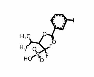 CC(C)C(OC(=O)c1cccc(I)c1)C(F)(F)S(=O)(=O)O